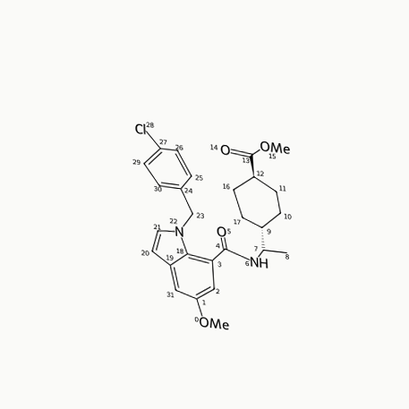 COc1cc(C(=O)NC(C)[C@H]2CC[C@H](C(=O)OC)CC2)c2c(ccn2Cc2ccc(Cl)cc2)c1